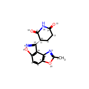 Cc1nc2c(ccc3onc([C@H]4CCC(=O)NC4=O)c32)o1